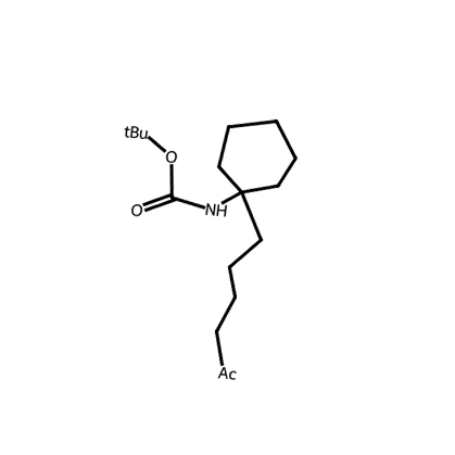 CC(=O)CCCCC1(NC(=O)OC(C)(C)C)CCCCC1